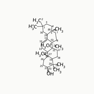 CC1(C)CC[C@]2(C)CC[C@]3(C)C(=CCC4C3(C)CCC3C(C)(C)[C@@H](O)CC[C@@]34C)C2C1